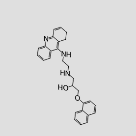 OC(CNCCNc1c2c(nc3ccccc13)C=CCC2)COc1cccc2ccccc12